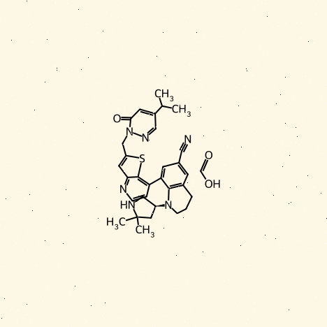 CC(C)c1cnn(Cc2cc3nccc(-c4cc(C#N)cc5c4N([C@@H]4CNC(C)(C)C4)CCC5)c3s2)c(=O)c1.O=CO